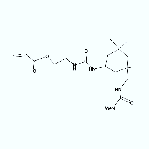 C=CC(=O)OCCNC(=O)NC1CC(C)(C)CC(C)(CNC(=O)NC)C1